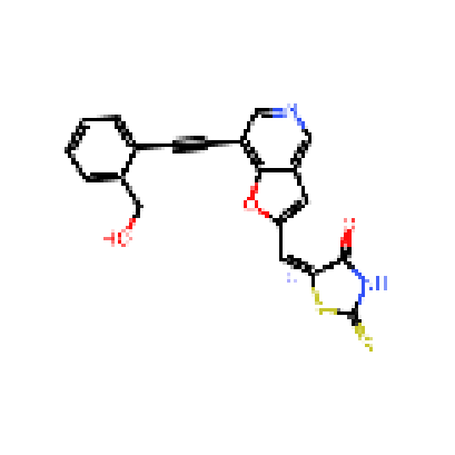 O=C1NC(=S)S/C1=C/c1cc2cncc(C#Cc3ccccc3CO)c2o1